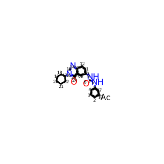 CC(=O)c1cccc(NC(=O)Nc2ccc3ncn(C4CCCCC4)c(=O)c3c2)c1